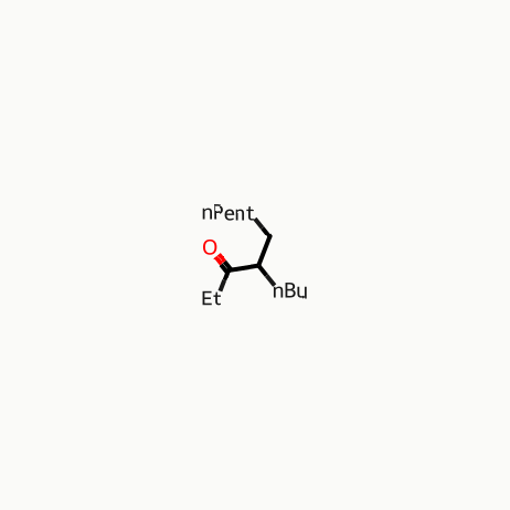 CCCCCCC(CCCC)C(=O)CC